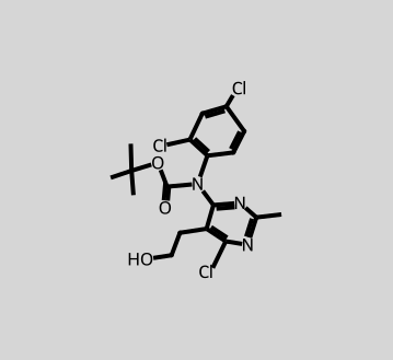 Cc1nc(Cl)c(CCO)c(N(C(=O)OC(C)(C)C)c2ccc(Cl)cc2Cl)n1